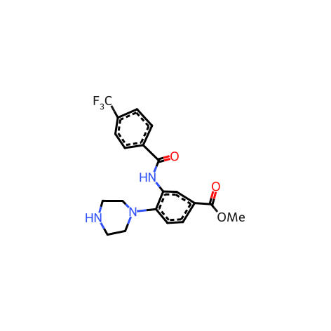 COC(=O)c1ccc(N2CCNCC2)c(NC(=O)c2ccc(C(F)(F)F)cc2)c1